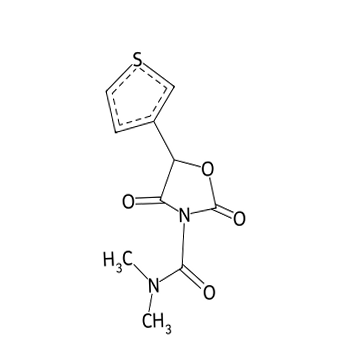 CN(C)C(=O)N1C(=O)OC(c2ccsc2)C1=O